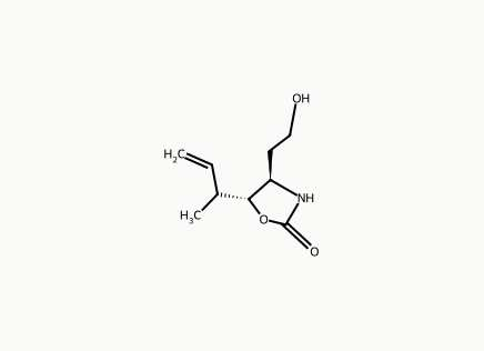 C=CC(C)[C@H]1OC(=O)N[C@@H]1CCO